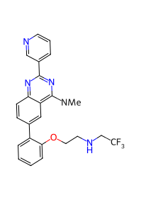 CNc1nc(-c2cccnc2)nc2ccc(-c3ccccc3OCCNCC(F)(F)F)cc12